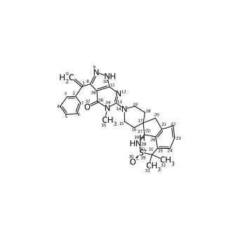 C=C(c1ccccc1)c1n[nH]c2nc(N3CCC4(CC3)Cc3cccc5c3[C@H]4N[S@+]([O-])C5(C)C)n(C)c(=O)c12